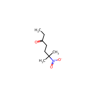 CCC(=O)CCC(C)(C)[N+](=O)[O-]